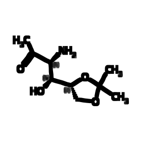 CC(=O)[C@@H](N)[C@H](O)[C@H]1COC(C)(C)O1